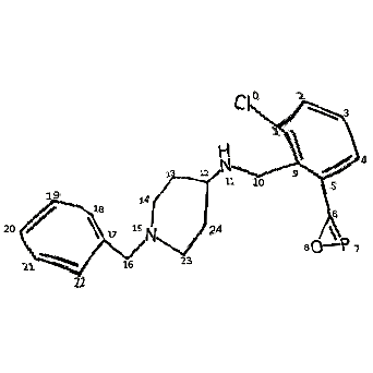 Clc1cccc(C2=PO2)c1CNC1CCN(Cc2ccccc2)CC1